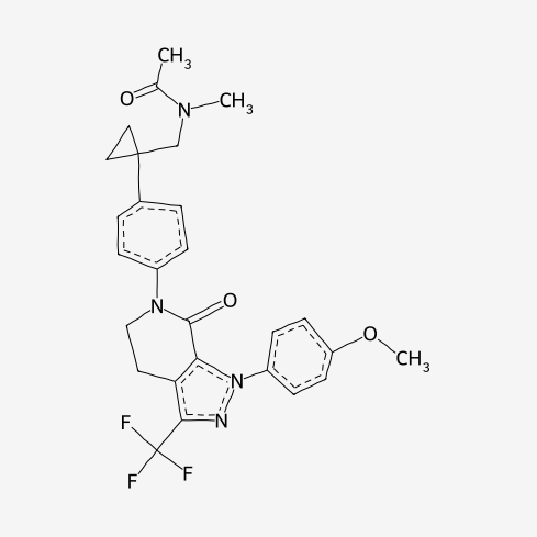 COc1ccc(-n2nc(C(F)(F)F)c3c2C(=O)N(c2ccc(C4(CN(C)C(C)=O)CC4)cc2)CC3)cc1